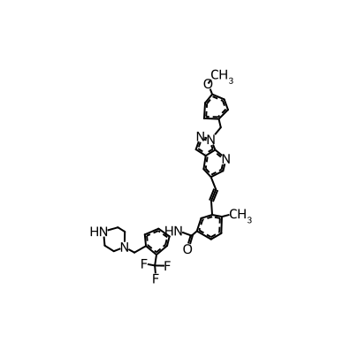 COc1ccc(Cn2ncc3cc(C#Cc4cc(C(=O)Nc5ccc(CN6CCNCC6)c(C(F)(F)F)c5)ccc4C)cnc32)cc1